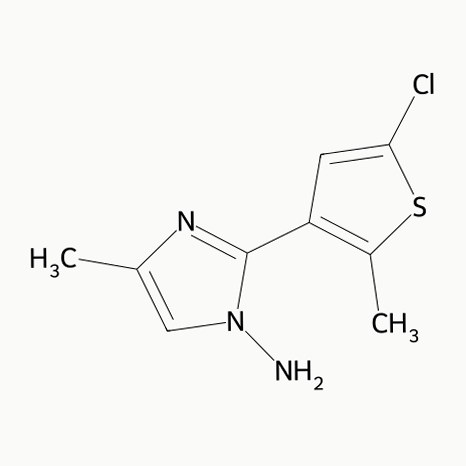 Cc1cn(N)c(-c2cc(Cl)sc2C)n1